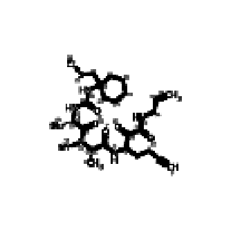 C#CCCC(NC(=O)[C@H](C)N(CCC)C(=O)[C@@H](NC(=O)NC1(CSCC)CCCCC1)C(C)(C)C)C(=O)C(=O)NCC=C